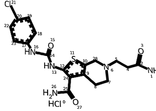 Cl.NC(=O)CCN1CCc2c(sc(NC(=O)Nc3ccc(Cl)cc3)c2C(N)=O)C1